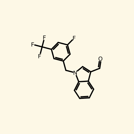 O=Cc1cn(Cc2cc(F)cc(C(F)(F)F)c2)c2ccccc12